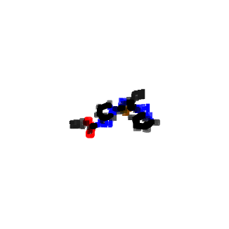 CC(C)(C)OC(=O)NC1CCCN(c2nc(C#N)c(Nc3ccccn3)s2)C1